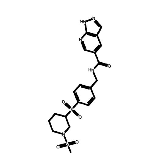 CS(=O)(=O)N1CCCC(S(=O)(=O)c2ccc(CNC(=O)c3cnc4[nH]ncc4c3)cc2)C1